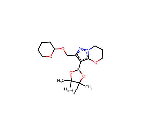 CC1(C)OB(c2c(COC3CCCCO3)nn3c2OCCC3)OC1(C)C